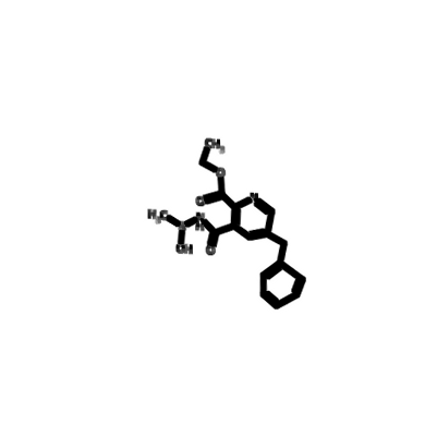 CCOC(=O)c1ncc(Cc2ccccc2)cc1C(=O)NB(C)O